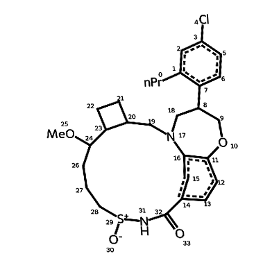 CCCc1cc(Cl)ccc1C1COc2ccc3cc2N(C1)CC1CCC1C(OC)CCC[S+]([O-])NC3=O